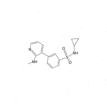 CNc1ncccc1-c1cccc(S(=O)(=O)NC2CC2)c1